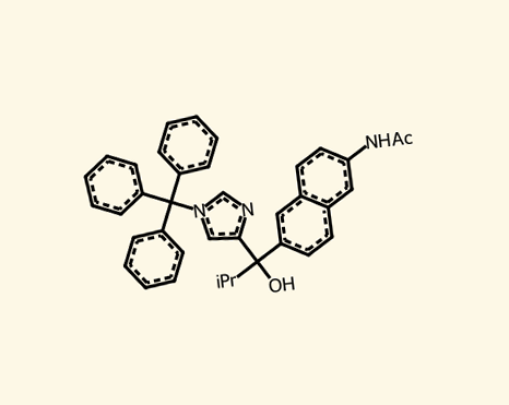 CC(=O)Nc1ccc2cc(C(O)(c3cn(C(c4ccccc4)(c4ccccc4)c4ccccc4)cn3)C(C)C)ccc2c1